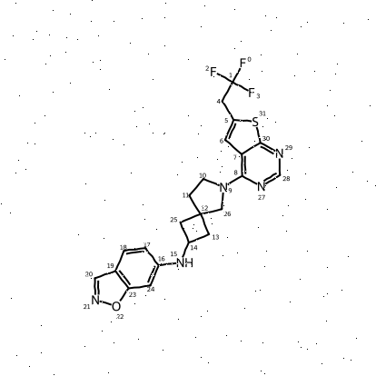 FC(F)(F)Cc1cc2c(N3CCC4(CC(Nc5ccc6cnoc6c5)C4)C3)ncnc2s1